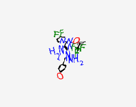 COc1ccc(CN(N)c2nc(O[C@@H](C)C(F)(F)F)nc(N3CCC(F)(F)C3)c2N)cc1